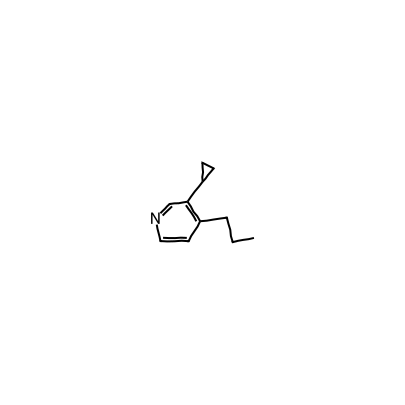 CCCc1ccncc1C1CC1